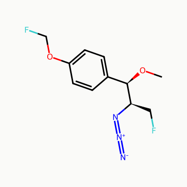 CO[C@H](c1ccc(OCF)cc1)[C@@H](CF)N=[N+]=[N-]